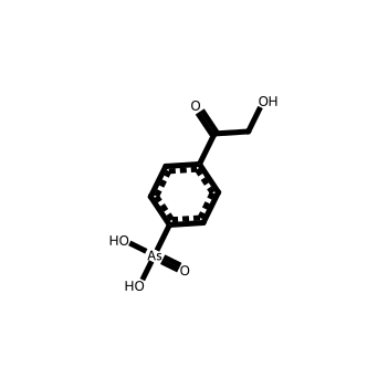 O=C(CO)c1ccc([As](=O)(O)O)cc1